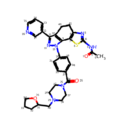 CC(=O)Nc1nc2c(s1)-c1c(c(-c3cccnc3)nn1-c1ccc(C(=O)N3CCN(CC4CCCO4)CC3)cc1)CC2